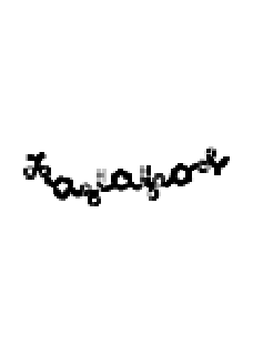 C=C(C)C(=O)OCC1CCC(COC(=O)NCC2CCCC(CNC(=O)OCC3CCC(COC(=O)C(=C)C)CC3)C2)CC1